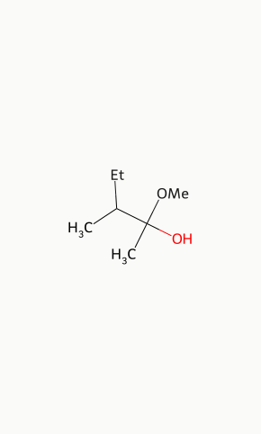 CCC(C)C(C)(O)OC